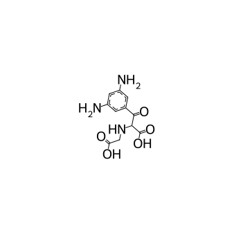 Nc1cc(N)cc(C(=O)C(NCC(=O)O)C(=O)O)c1